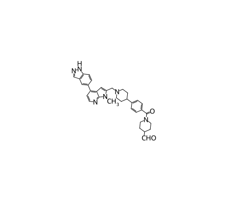 Cn1c(CN2CCC(c3ccc(C(=O)N4CCC(C=O)CC4)cc3)CC2)cc2c(-c3ccc4[nH]ncc4c3)ccnc21